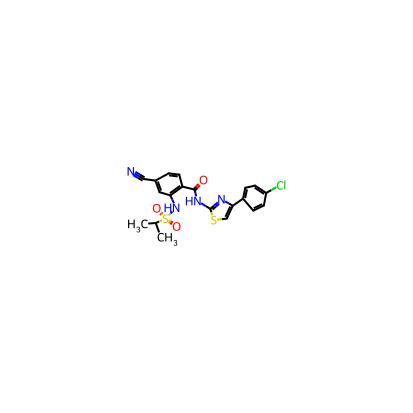 CC(C)S(=O)(=O)Nc1cc(C#N)ccc1C(=O)Nc1nc(-c2ccc(Cl)cc2)cs1